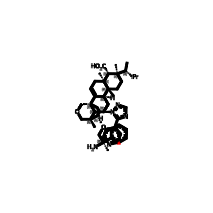 CC(C)[C@@H](C)[C@@]1(C)CC[C@]2(C)[C@H]3CC[C@@H]4[C@@]5(COC[C@@]4(C)[C@@H](OC[C@](C)(N)c4ccccc4)[C@H](n4ncnc4-c4ccncc4)C5)C3=CC[C@@]2(C)[C@@H]1C(=O)O